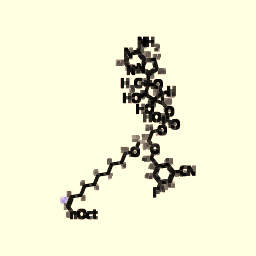 CCCCCCCC/C=C\CCCCCCCCOC[C@H](COP(=O)(O)OC1[C@H]2O[C@@](C)(c3ccc4c(N)ncnn34)[C@H](O)[C@@]12O)OCc1cc(F)cc(C#N)c1